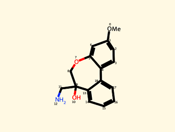 COc1ccc2c(c1)OCC(O)(CN)c1ccccc1-2